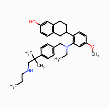 CCCNCC(C)(C)c1ccc(CN(CC)c2cc(OC)ccc2C2CCc3cc(O)ccc3C2)cc1